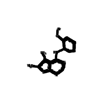 Cc1sc2ncnc(Nc3ccccc3OC(C)C)c2c1C